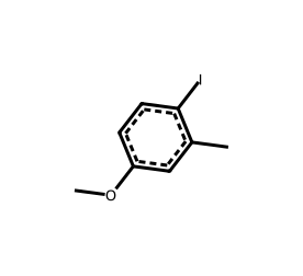 COc1ccc(I)c(C)c1